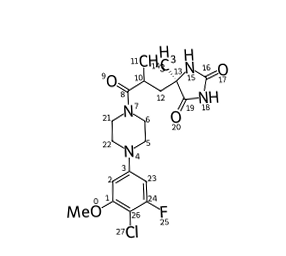 COc1cc(N2CCN(C(=O)C(C)C[C@@]3(C)NC(=O)NC3=O)CC2)cc(F)c1Cl